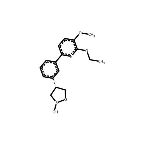 CCOc1nc(-c2cccc([C@@H]3COB(O)C3)c2)ccc1OC